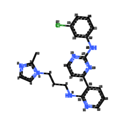 Cc1nccn1CCCNc1ncccc1-c1ccnc(Nc2cccc(Cl)c2)n1